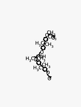 CC[C@@](C)(CC(O)COc1ccc(C(C)(C)c2ccc(OC(C)(C)CC3CO3)cc2)cc1)Oc1ccc(C(C)(C)c2ccc(OCC3CO3)cc2)cc1